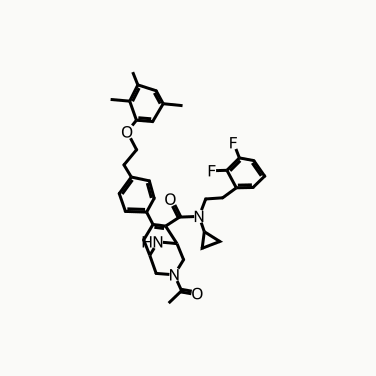 CC(=O)N1CC2CC(c3ccc(CCOc4cc(C)cc(C)c4C)cc3)=C(C(=O)N(CCc3cccc(F)c3F)C3CC3)C(C1)N2